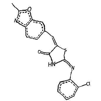 Cc1nc2ccc(C=C3SC(=Nc4ccccc4Cl)NC3=O)cc2o1